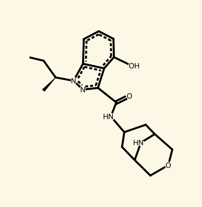 CC[C@H](C)n1nc(C(=O)NC2CC3COCC(C2)N3)c2c(O)cccc21